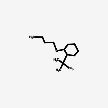 CCCCOC1CCCCC1C(C)(C)C